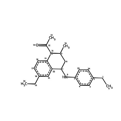 CCc1ccc(NC2CC(C)N(C(C)=O)c3ccc(CC)cc32)cc1